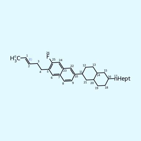 C/C=C/CCc1cc2ccc(C3CCC4CC(CCCCCCC)CCC4C3)cc2cc1F